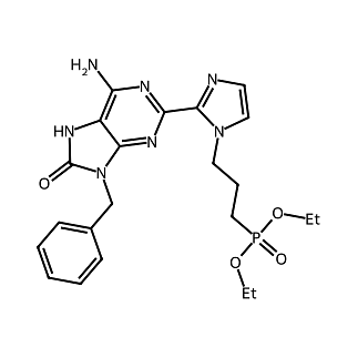 CCOP(=O)(CCCn1ccnc1-c1nc(N)c2[nH]c(=O)n(Cc3ccccc3)c2n1)OCC